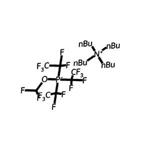 CCCC[N+](CCCC)(CCCC)CCCC.FC(F)O[P-](C(F)(F)C(F)(F)F)(C(F)(F)C(F)(F)F)C(F)(F)C(F)(F)F